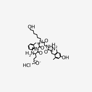 Cc1cc(O)cc(C)c1C[C@H](N)C(=O)NCC(=O)N(CCCCCCO)[C@@H](Cc1ccccc1)C(=O)NC(=O)C(N)CC[S+](C)[O-].Cl